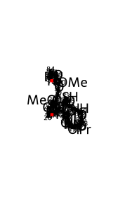 COc1cc2c(cc1OCCCCCOc1cc3c(cc1OC)C(=O)N1C=C(C)C[C@H]1C(C)N3C(=O)OCc1ccc(NC(=O)[C@H](C)NC(=O)[C@@H](NC(=O)C(C)(C)CCOC(C)(C)CCNC(=O)CCN3C(=O)CC(S)C3=O)C(C)C)cc1)N=C[C@@H]1CC(C)=CN1C2=O